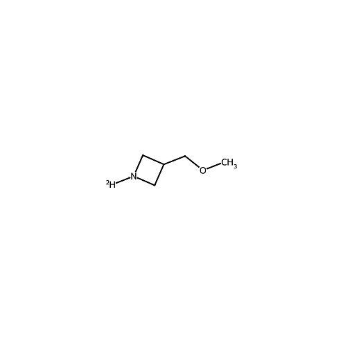 [2H]N1CC(COC)C1